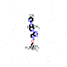 C[C@@]12CN(c3ccc(C#N)cn3)C[C@@H]1CCN(c1ncnc3c1ccn3COCC[Si](C)(C)C)C2